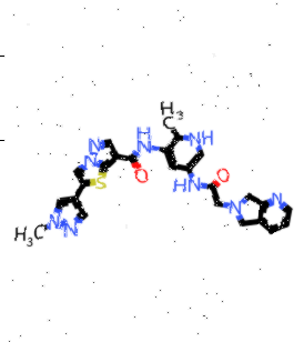 CC1NC=C(NC(=O)CN2Cc3cccnc3C2)C=C1NC(=O)c1cnn2cc(-c3cnn(C)c3)sc12